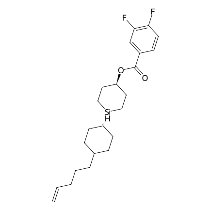 C=CCCCC1CCC([Si@H]2CC[C@H](OC(=O)c3ccc(F)c(F)c3)CC2)CC1